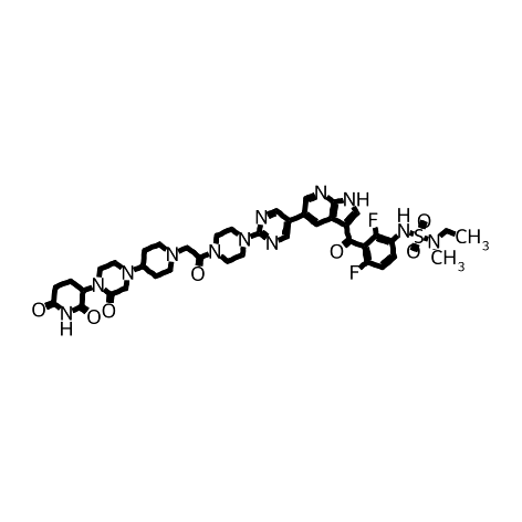 CCN(C)S(=O)(=O)Nc1ccc(F)c(C(=O)c2c[nH]c3ncc(-c4cnc(N5CCN(C(=O)CN6CCC(N7CCN(C8CCC(=O)NC8=O)C(=O)C7)CC6)CC5)nc4)cc23)c1F